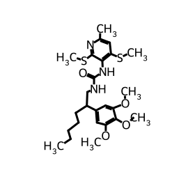 CCCCCC(CNC(=O)Nc1c(SC)cc(C)nc1SC)c1cc(OC)c(OC)c(OC)c1